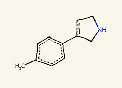 Cc1ccc(C2=CCNC2)cc1